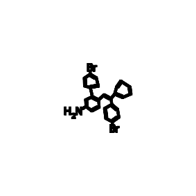 Nc1ccc(C=C(c2ccccc2)c2ccc(Br)cc2)c(-c2ccc(Br)cc2)c1